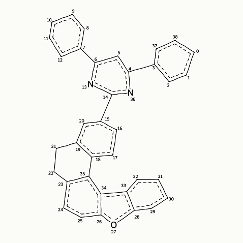 c1ccc(-c2cc(-c3ccccc3)nc(-c3ccc4c(c3)CCc3ccc5oc6ccccc6c5c3-4)n2)cc1